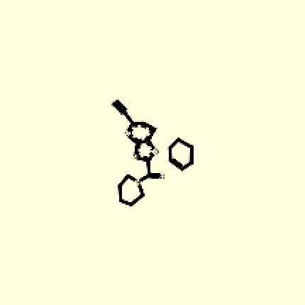 C#Cc1ccc2oc(C(=O)N3CCCCC3)nc2n1.C1=CCCCC1